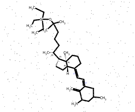 C=C1/C(=C\C=C2/CCC[C@]3(C)[C@@H]([C@H](C)CCCC(C)(C)O[Si](CC)(CC)CC)CC[C@@H]23)CC(C)CC1N